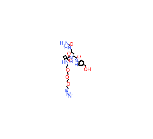 [N-]=[N+]=NCCOCCOCCOCCNC(=O)C1(C(=O)N[C@@H](CCCNC(N)=O)C(=O)Nc2ccc(CO)cc2)CCC1